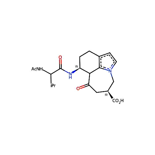 CC(=O)NC(C(=O)N[C@H]1CCc2ccn3c2C1C(=O)C[C@H](C(=O)O)C3)C(C)C